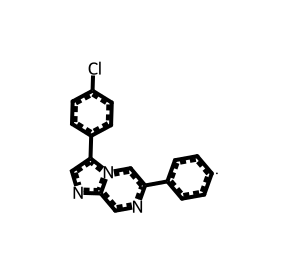 Clc1ccc(-c2cnc3cnc(-c4cc[c]cc4)cn23)cc1